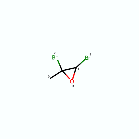 CC1(Br)OC1Br